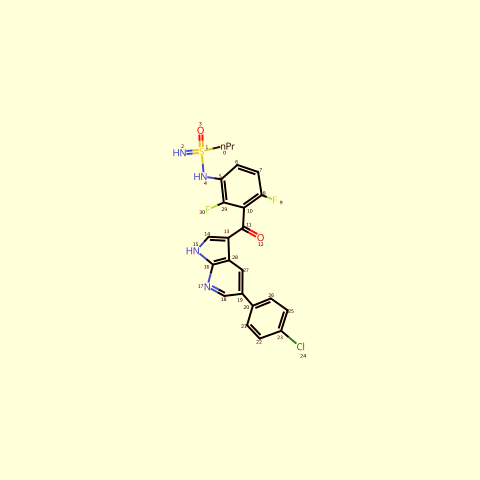 CCCS(=N)(=O)Nc1ccc(F)c(C(=O)c2c[nH]c3ncc(-c4ccc(Cl)cc4)cc23)c1F